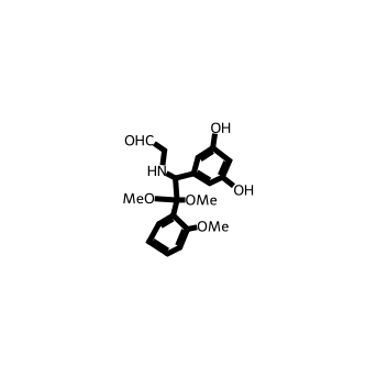 COc1ccccc1C(OC)(OC)C(NCC=O)c1cc(O)cc(O)c1